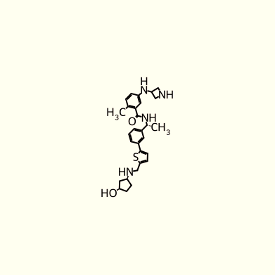 Cc1ccc(NC2CNC2)cc1C(=O)N[C@H](C)c1cccc(-c2ccc(CN[C@H]3CC[C@@H](O)C3)s2)c1